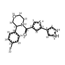 O=C(c1csc(-c2cn[nH]c2)c1)N1CCOCC1c1ccc(F)cc1